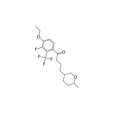 CCOc1ccc(C(=O)CCCC2CCC(C)OC2)c(C(F)(F)F)c1F